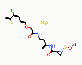 C=C(CCNC(=O)CO/C=C/C=C(/Cl)C(=C)F)NC(=O)C1CN1SOCC.S